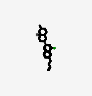 C=CCCc1ccc2cc([C@@H]3CC[C@@H]4CC(C)CCC4C3)cc(F)c2c1